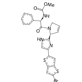 COC(=O)N[C@@H](C(=O)N1CC=C[C@H]1c1nc(-c2cc3sc(Br)cc3s2)c[nH]1)c1ccccc1